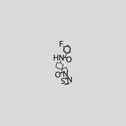 O=C(NC1CCCC2(CCN(c3nccs3)C2=O)C1)c1cccc(F)c1